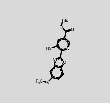 CC(C)(C)OC(=O)c1cnc(-c2nc3cc(SC(F)(F)F)ccc3o2)c(S)c1